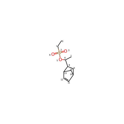 CCS(=O)(=O)OC(C)C1CC2C=CC1C2